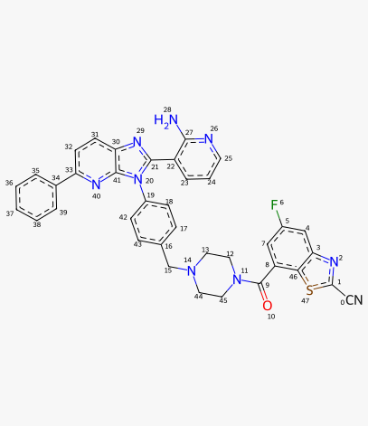 N#Cc1nc2cc(F)cc(C(=O)N3CCN(Cc4ccc(-n5c(-c6cccnc6N)nc6ccc(-c7ccccc7)nc65)cc4)CC3)c2s1